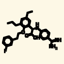 CCCc1cc(CC)cc([C@@H](Nc2ccc(C(=N)N)cc2)C(=O)O)c1OCCc1cccc(F)c1